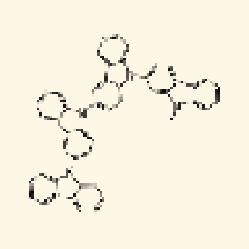 Cn1c2ccccc2c2ccc(-n3c4ccccc4c4cc(-n5c6ccccc6c6cc(-n7c8ccccc8c8ccccc87)ccc65)ccc43)cc21